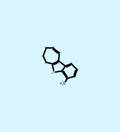 Nc1cccc2c3c(oc12)CCCC=C3